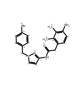 Cc1c(N)ccc(CC(=O)Nc2ccn(Cc3ccc(C(C)(C)C)cc3)n2)c1C